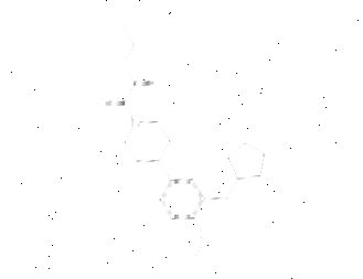 CCOC(=O)C(=O)N1CCC(c2ccc(OC)c(CC3CCCC3)c2)CC1